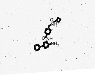 Nc1ccc(-c2ccccc2)cc1NC(=O)c1ccc(CNC(=O)C2CCC2)cc1